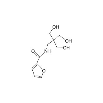 O=C(NCC(CO)(CO)CO)c1ccco1